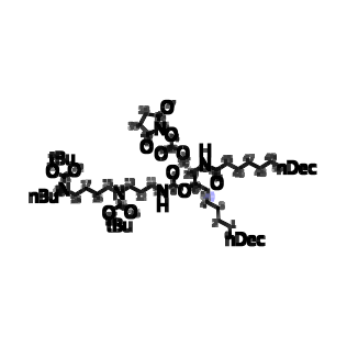 CCCCCCCCCCCCC/C=C/[C@@H](OC(=O)NCCCN(CCCCN(CCCC)C(=O)OC(C)(C)C)C(=O)OC(C)(C)C)[C@H](COC(=O)ON1C(=O)CCC1=O)NC(=O)CCCCCCCCCCCCCCC